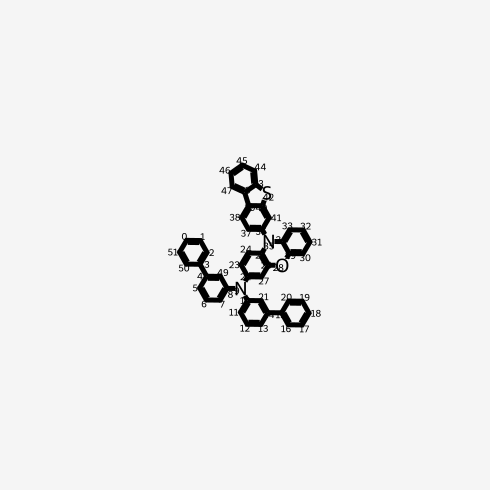 c1ccc(-c2cccc(N(c3cccc(-c4ccccc4)c3)c3ccc4c(c3)Oc3ccccc3N4c3ccc4c(c3)sc3ccccc34)c2)cc1